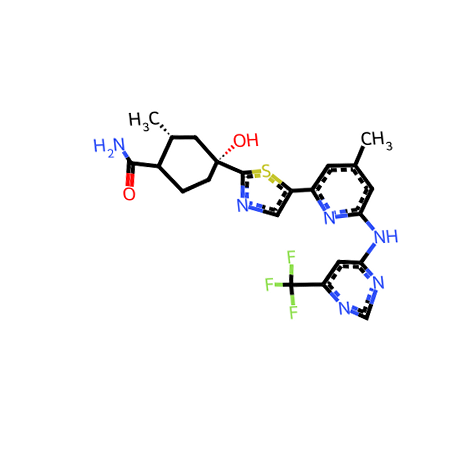 Cc1cc(Nc2cc(C(F)(F)F)ncn2)nc(-c2cnc([C@@]3(O)CCC(C(N)=O)[C@H](C)C3)s2)c1